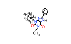 [2H]n1c(C23CC4CC(CC2C4)C3)nc2c1c(=O)n(CCC)c(=O)n2C([2H])([2H])C([2H])([2H])C([2H])([2H])[2H]